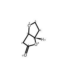 O=C1CC2OCC[C@@H]2O1